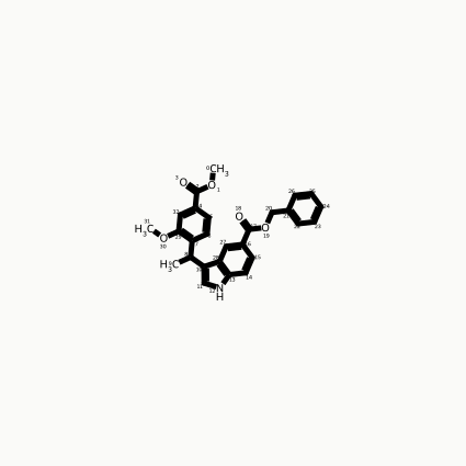 COC(=O)c1ccc(C(C)c2c[nH]c3ccc(C(=O)OCc4ccccc4)cc23)c(OC)c1